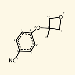 CC1(Oc2ccc(C#N)cc2)COC1